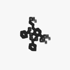 CCCCc1ccc(C(C)C)c(OC(=O)c2ccccc2)c1OC(=O)c1ccccc1